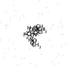 COC(=O)N1CCc2c(F)ccc(-c3ncc(Cl)c([Si](C)(C)C)c3Cl)c2C1